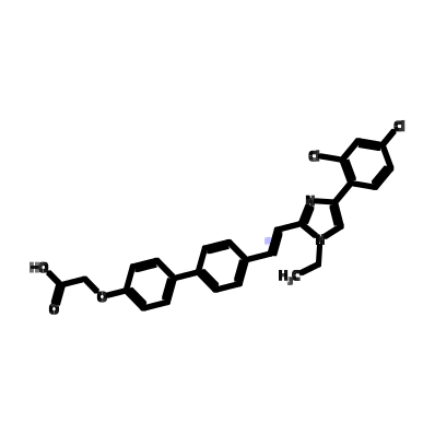 CCn1cc(-c2ccc(Cl)cc2Cl)nc1/C=C/c1ccc(-c2ccc(OCC(=O)O)cc2)cc1